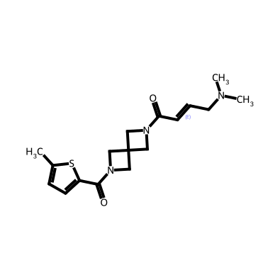 Cc1ccc(C(=O)N2CC3(CN(C(=O)/C=C/CN(C)C)C3)C2)s1